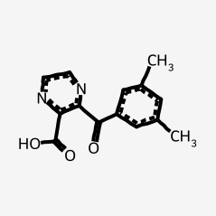 Cc1cc(C)cc(C(=O)c2nccnc2C(=O)O)c1